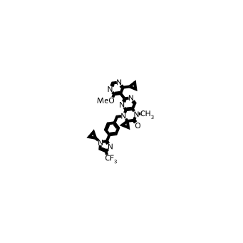 COc1ncnc(C2CC2)c1-c1ncc2c(n1)N(Cc1ccc(-c3nc(C(F)(F)F)cn3C3CC3)cc1)C1(CC1)C(=O)N2C